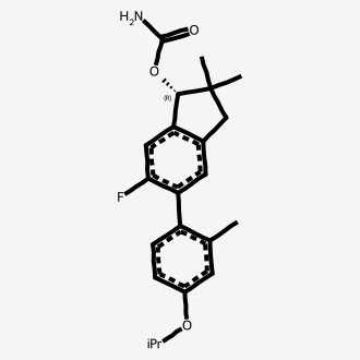 Cc1cc(OC(C)C)ccc1-c1cc2c(cc1F)[C@H](OC(N)=O)C(C)(C)C2